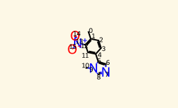 Cc1ccc(-c2cncn2C)cc1[N+](=O)[O-]